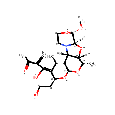 C=C(C(C)=O)/C(O)=C(\CC)[C@H](CCO)O[C@H]1C[C@H]2[C@H](O[C@@H]3[C@@H](OC)OCCN32)[C@H](C)O1